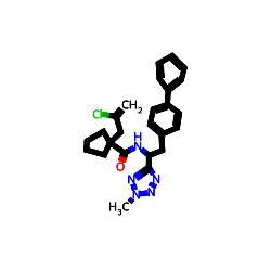 C=C(Cl)CC1(C(=O)NC(Cc2ccc(-c3ccccc3)cc2)c2nnn(C)n2)CCCC1